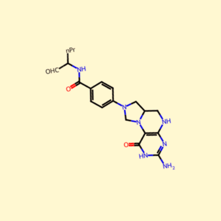 CCCC(C=O)NC(=O)c1ccc(N2CC3CNc4nc(N)[nH]c(=O)c4N3C2)cc1